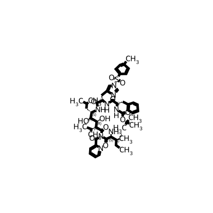 CC[C@H](C)[C@H](N)C(=O)N(C(=O)c1ccccn1)C(=O)[C@H](C(C)C)[C@@H](O)[C@H](O)[C@H](CC(C)C)NC(=O)[C@H](Cc1cn(S(=O)(=O)c2ccc(C)cc2)cn1)NC(=O)[C@H](Cc1ccccc1)NC(=O)OC(C)(C)C